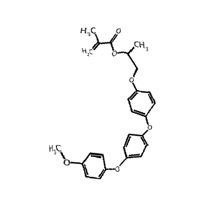 C=C(C)C(=O)OC(C)COc1ccc(Oc2ccc(Oc3ccc(OC)cc3)cc2)cc1